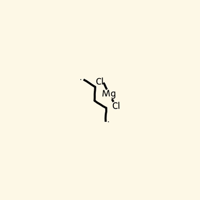 [CH2]CCC[CH2].[Cl][Mg][Cl]